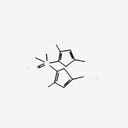 CC(C)C1=CC(C(C)C)=[C]([Ti]([CH3])([CH3])(=[SiH2])[C]2=C(C(C)C)C=C(C(C)C)C2)C1.Cl.Cl